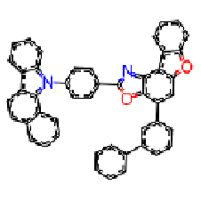 c1ccc(-c2cccc(-c3cc4oc5ccccc5c4c4nc(-c5ccc(-n6c7ccccc7c7ccc8ccccc8c76)cc5)oc34)c2)cc1